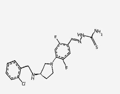 NC(=S)NN=Cc1cc(F)c(N2CC[C@@H](NCc3ccccc3Cl)C2)cc1F